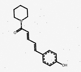 O=C(C=CC=Cc1ccc(O)cc1)N1CCCCC1